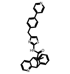 CC1(C(=O)Nc2nc(Cc3ccc(-c4ccncc4)cc3)cs2)CC2c3ccccc3C1c1cccnc12